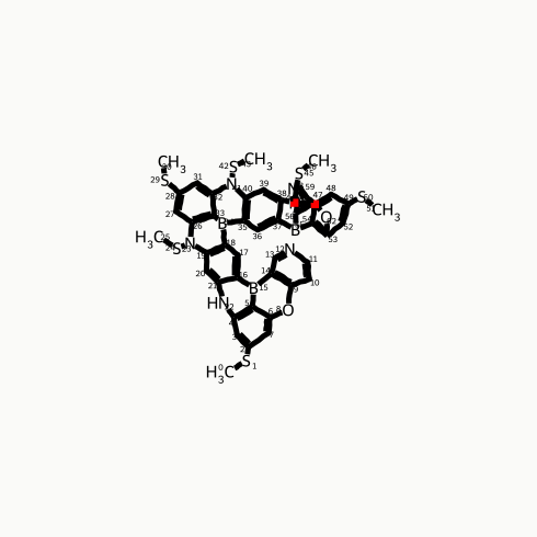 CSc1cc2c3c(c1)Oc1ccncc1B3c1cc3c(cc1N2)N(SC)c1cc(SC)cc2c1B3c1cc3c(cc1N2SC)N(SC)c1cc(SC)cc2c1B3c1cnccc1O2